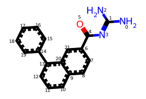 NC(N)=NC(=O)c1ccc2cccc(-c3ccccc3)c2c1